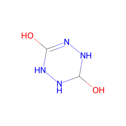 OC1=NNC(O)NN1